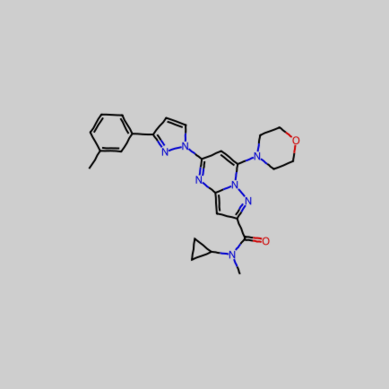 Cc1cccc(-c2ccn(-c3cc(N4CCOCC4)n4nc(C(=O)N(C)C5CC5)cc4n3)n2)c1